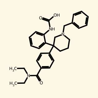 CCN(CC)C(=O)c1ccc(C2(c3ccccc3NC(=O)O)CCCN(Cc3ccccc3)C2)cc1